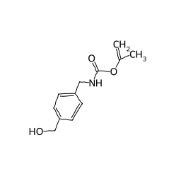 C=C(C)OC(=O)NCc1ccc(CO)cc1